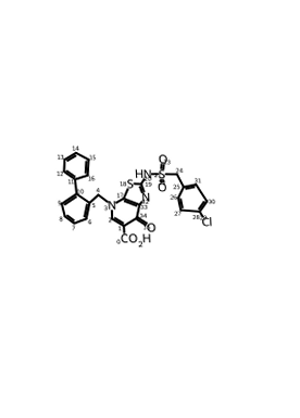 O=C(O)c1cn(Cc2ccccc2-c2ccccc2)c2sc(NS(=O)(=O)Cc3ccc(Cl)cc3)nc2c1=O